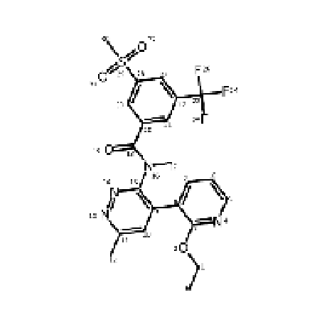 CCOc1ncccc1-c1cc(C)nnc1N(C)C(=O)c1cc(C(F)(F)F)cc(S(C)(=O)=O)c1